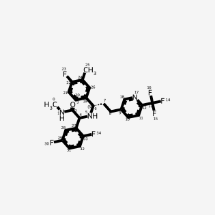 CNC(=O)C(N[C@@H](CCc1ccc(C(F)(F)F)nc1)c1ccc(F)c(C)c1)c1cc(F)ccc1F